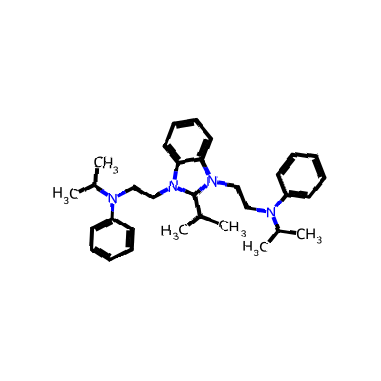 CC(C)C1N(CCN(c2ccccc2)C(C)C)c2ccccc2N1CCN(c1ccccc1)C(C)C